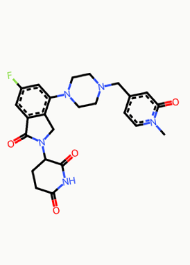 Cn1ccc(CN2CCN(c3cc(F)cc4c3CN(C3CCC(=O)NC3=O)C4=O)CC2)cc1=O